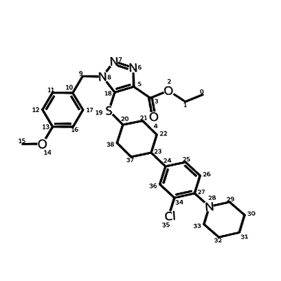 CCOC(=O)c1nnn(Cc2ccc(OC)cc2)c1SC1CCC(c2ccc(N3CCCCC3)c(Cl)c2)CC1